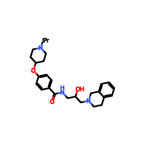 CC(C)N1CCC(Oc2ccc(C(=O)NCC(O)CN3CCc4ccccc4C3)cc2)CC1